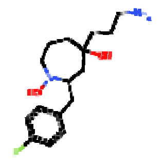 NCCCC1(O)CCCN(O)C(Cc2ccc(F)cc2)C1